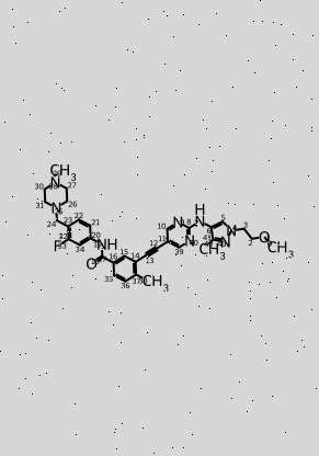 COCCn1cc(Nc2ncc(C#Cc3cc(C(=O)Nc4ccc(CN5CCN(C)CC5)c(F)c4)ccc3C)cn2)c(C)n1